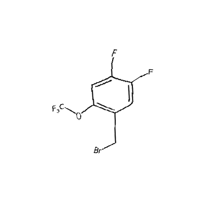 Fc1cc(CBr)c(OC(F)(F)F)cc1F